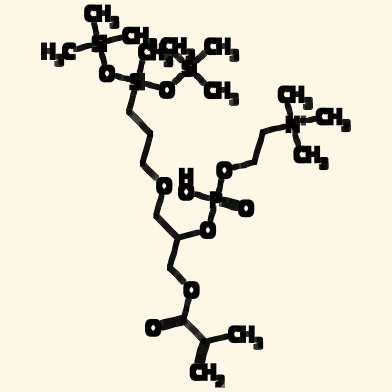 C=C(C)C(=O)OCC(COCCC[Si](C)(O[Si](C)(C)C)O[Si](C)(C)C)OP(=O)(O)OCC[N+](C)(C)C